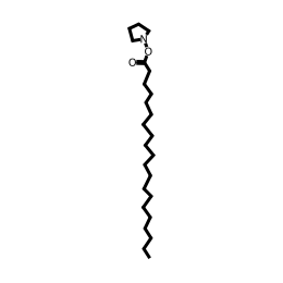 CCCCCCCCCCCCCCCCCCCC(=O)ON1CCCC1